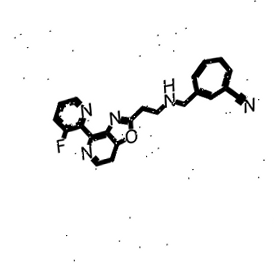 N#CC1=CCC=CC(CNCCC2=NC3=C(c4ncccc4F)N=CCC3O2)=C1